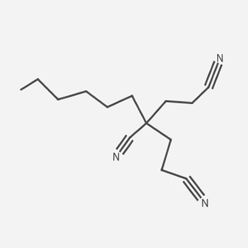 CCCCCCC(C#N)(CCC#N)CCC#N